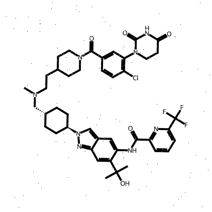 CN(CCC1CCN(C(=O)c2ccc(Cl)c(N3CCC(=O)NC3=O)c2)CC1)C[C@H]1CC[C@H](n2cc3cc(NC(=O)c4cccc(C(F)(F)F)n4)c(C(C)(C)O)cc3n2)CC1